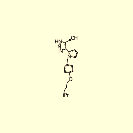 C#Cc1[nH]nnc1-c1cccn1Cc1ccc(OCCCC(C)C)cc1